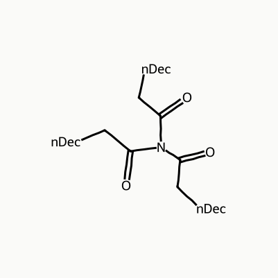 CCCCCCCCCCCC(=O)N(C(=O)CCCCCCCCCCC)C(=O)CCCCCCCCCCC